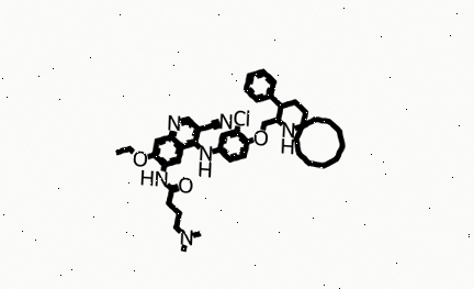 CCOc1cc2ncc(C#N)c(Nc3ccc(OCC4NC5(CCCCCCCCC5)CCC4c4ccccc4)c(Cl)c3)c2cc1NC(=O)CCCN(C)C